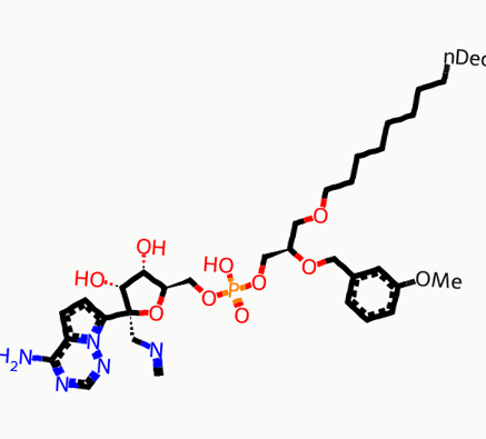 C=NC[C@@]1(c2ccc3c(N)ncnn23)O[C@H](COP(=O)(O)OC[C@@H](COCCCCCCCCCCCCCCCCCC)OCc2cccc(OC)c2)[C@@H](O)[C@H]1O